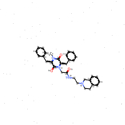 Cn1c(=O)c(=Cc2ccccc2)n(CC(=O)NCCN2CCc3ccccc3C2)c(=O)c1=Cc1ccccc1